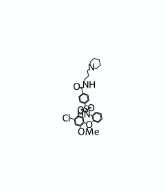 COc1cc(Cl)ccc1Oc1ccccc1NS(=O)(=O)c1ccc(C(=O)NCCCN2CCCCC2)cc1